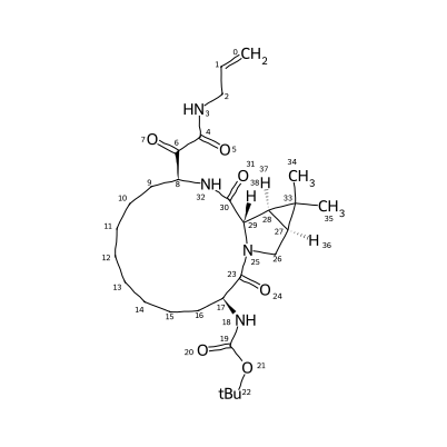 C=CCNC(=O)C(=O)[C@@H]1CCCCCCCC[C@H](NC(=O)OC(C)(C)C)C(=O)N2C[C@H]3[C@@H]([C@H]2C(=O)N1)C3(C)C